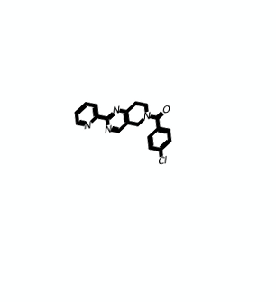 O=C(c1ccc(Cl)cc1)N1CCc2nc(-c3ccccn3)ncc2C1